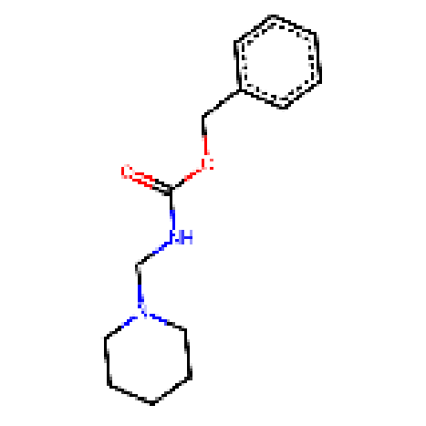 O=C(NCN1CC[CH]CC1)OCc1ccccc1